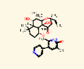 C=C[C@@]1(C)CC(=O)[C@]2(O)[C@@]3(C)[C@@H](O)CCC(C)(C)[C@@H]3[C@H](O)[C@H](OC(C)=O)[C@@]2(C)O1.Cc1[nH]c(=O)c(C#N)cc1-c1ccncc1